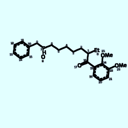 CCC(CCCCC[PH](=O)Cc1ccccc1)C(=O)c1cccc(OC)c1OC